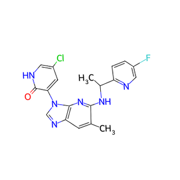 Cc1cc2ncn(-c3cc(Cl)c[nH]c3=O)c2nc1NC(C)c1ccc(F)cn1